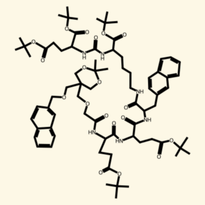 CC(C)(C)OC(=O)CCC(NC(=O)COCC1(COCc2ccc3ccccc3c2)COC(C)(C)OC1)C(=O)NC(CCC(=O)OC(C)(C)C)C(=O)NC(Cc1ccc2ccccc2c1)C(=O)NCCCCC(NC(=O)NC(CCC(=O)OC(C)(C)C)C(=O)OC(C)(C)C)C(=O)OC(C)(C)C